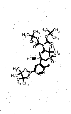 C#C[C@@]1(c2cc(B3OC(C)(C)C(C)(C)O3)cnc2F)CS(=O)(=O)C(C)(C)C(N(C(=O)OC(C)(C)C)C(=O)OC(C)(C)C)=N1